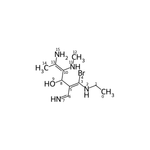 CCN/C(Br)=C(\C=N)C(O)/C(NC)=C(\C)N